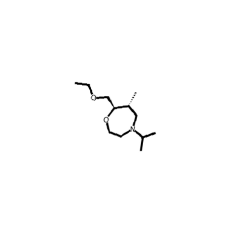 CCOC[C@@H]1OCCN(C(C)C)C[C@H]1C